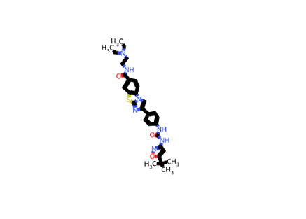 CCN(CC)CCNC(=O)c1ccc2c(c1)sc1nc(-c3ccc(NC(=O)Nc4cc(C(C)(C)C)on4)cc3)cn12